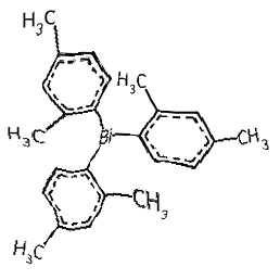 Cc1cc[c]([Bi]([c]2ccc(C)cc2C)[c]2ccc(C)cc2C)c(C)c1